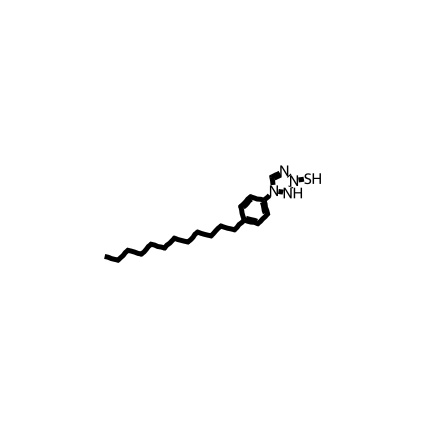 CCCCCCCCCCCCc1ccc(N2C=NN(S)N2)cc1